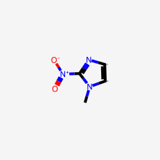 Cn1[c][c]nc1[N+](=O)[O-]